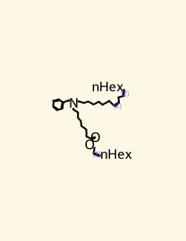 CCCCCC/C=C\C/C=C\CCCCCCCN(CCCCCCCC(=O)OC/C=C\CCCCCC)Cc1ccccc1